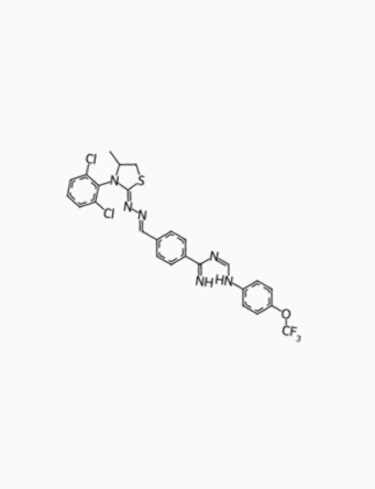 CC1CS/C(=N\N=C\c2ccc(C(=N)/N=C\Nc3ccc(OC(F)(F)F)cc3)cc2)N1c1c(Cl)cccc1Cl